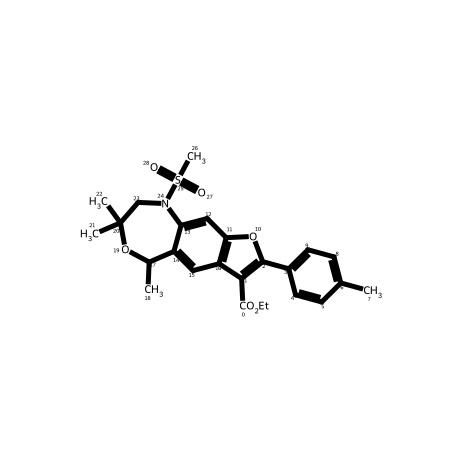 CCOC(=O)c1c(-c2ccc(C)cc2)oc2cc3c(cc12)C(C)OC(C)(C)CN3S(C)(=O)=O